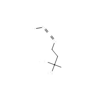 CCN=C=NCCC(N)(C=O)C=O